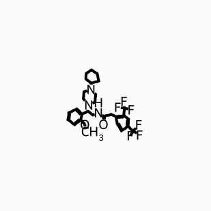 COc1ccccc1C(CNC(=O)Cc1ccc(C(F)(F)F)cc1C(F)(F)F)N1CCN(C2CCCCC2)CC1